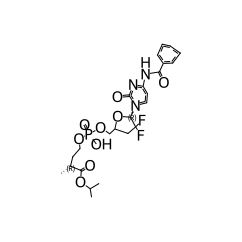 CC(C)OC(=O)[C@H](C)CCOP(=O)(O)OCC1CC(F)(F)[C@H](n2ccc(NC(=O)c3ccccc3)nc2=O)O1